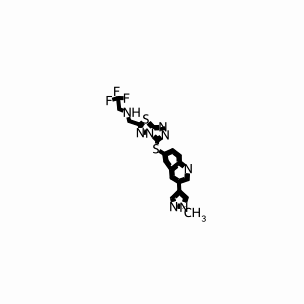 Cn1cc(-c2cnc3ccc(Sc4nnc5sc(CNCC(F)(F)F)nn45)cc3c2)cn1